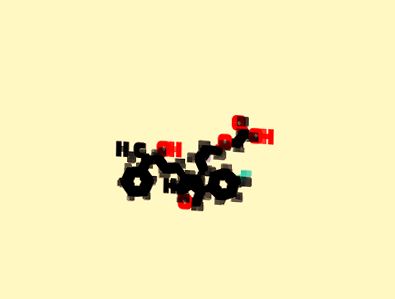 CC(c1ccccc1)[C@H](O)/C=C/[C@@H]1[C@@H]2C[C@@](c3ccc(F)cc3)(CO2)[C@H]1C/C=C\COCC(=O)O